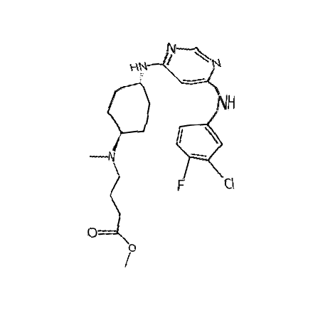 COC(=O)CCCN(C)[C@H]1CC[C@H](Nc2cc(Nc3ccc(F)c(Cl)c3)ncn2)CC1